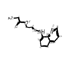 CC(=O)CC(=O)OCC=NNc1cccc2cccnc12